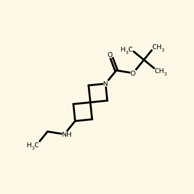 CCNC1CC2(C1)CN(C(=O)OC(C)(C)C)C2